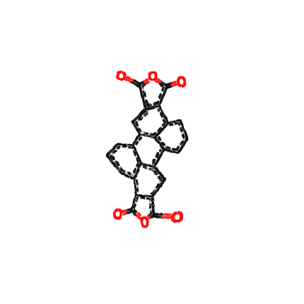 O=c1oc(=O)c2c1cc1c3cccc4c5c(=O)oc(=O)c5cc(c5cccc2c51)c34